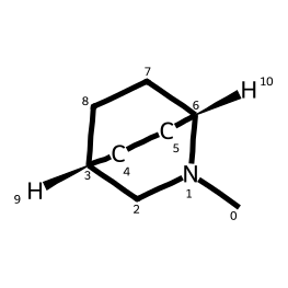 CN1C[C@H]2CC[C@@H]1CC2